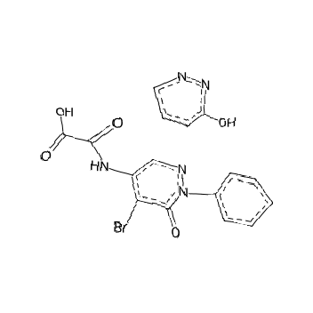 O=C(O)C(=O)Nc1cnn(-c2ccccc2)c(=O)c1Br.Oc1cccnn1